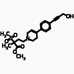 COC(=O)C(C)(CCN1CC=C(c2ccc(C#CCO)cc2)CC1)S(C)(=O)=O